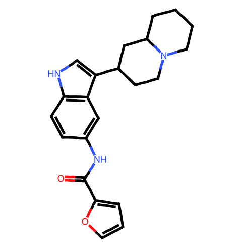 O=C(Nc1ccc2[nH]cc(C3CCN4CCCCC4C3)c2c1)c1ccco1